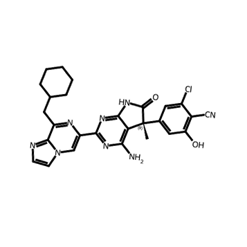 C[C@]1(c2cc(O)c(C#N)c(Cl)c2)C(=O)Nc2nc(-c3cn4ccnc4c(CC4CCCCC4)n3)nc(N)c21